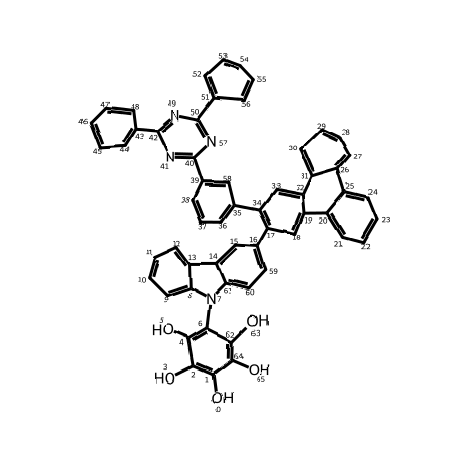 Oc1c(O)c(O)c(-n2c3ccccc3c3cc(-c4cc5c6ccccc6c6ccccc6c5cc4-c4cccc(-c5nc(-c6ccccc6)nc(-c6ccccc6)n5)c4)ccc32)c(O)c1O